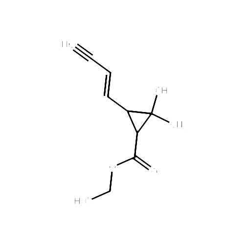 C#C/C=C/C1C(C(=O)OCC)C1(C)C